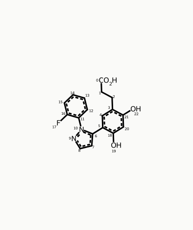 O=C(O)CCc1cc(-c2ccnn2-c2ccccc2F)c(O)cc1O